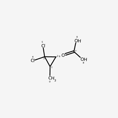 CC1CC1(Cl)Cl.O=C(O)O